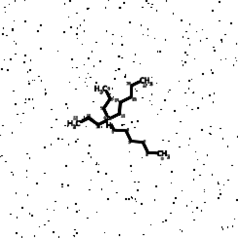 CCCCCC[PH](CCC)(CCC)CCCCC